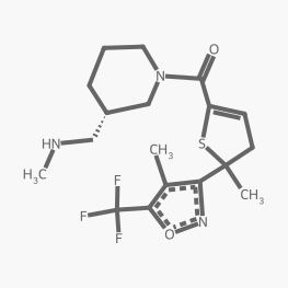 CNC[C@@H]1CCCN(C(=O)C2=CCC(C)(c3noc(C(F)(F)F)c3C)S2)C1